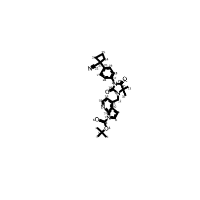 CC(C)(C)OC(=O)n1ccc2c(CN3C(=O)N(c4ccc(C5(C#N)CCC5)cc4)C(=O)C3(C)C)ccnc21